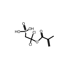 C=C(C)C(=O)OC(Cl)(Cl)CP(=O)(O)O